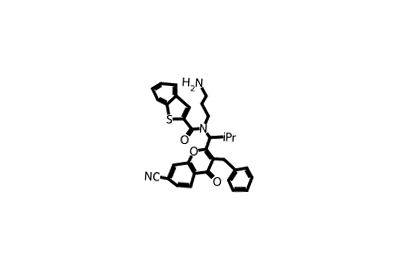 CC(C)C(c1oc2cc(C#N)ccc2c(=O)c1Cc1ccccc1)N(CCCN)C(=O)c1cc2ccccc2s1